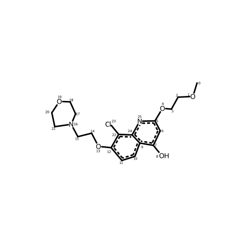 COCCOc1cc(O)c2ccc(OCCN3CCOCC3)c(Cl)c2n1